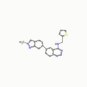 Cn1cc2ccc(-c3ccc4ncnc(NCc5cccs5)c4c3)cc2n1